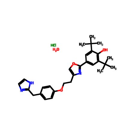 CC(C)(C)c1cc(-c2nc(CCOc3ccc(Cc4ncc[nH]4)cc3)co2)cc(C(C)(C)C)c1O.Cl.O